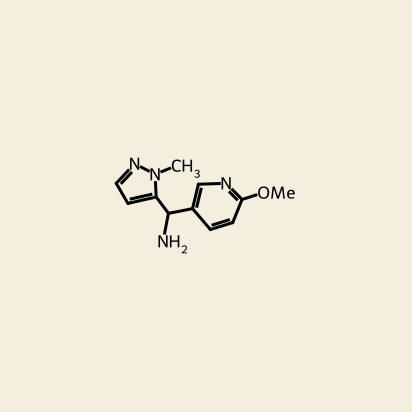 COc1ccc(C(N)c2ccnn2C)cn1